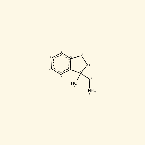 NCC1(O)CCc2ccccc21